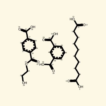 O=C(O)CCCCCCCCC(=O)O.O=C(O)c1ccc(C(=O)OCCO)cc1.O=C(O)c1cccc(C(=O)O)c1